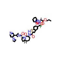 CCCOC(=O)[C@H](C)NP(=O)(Oc1ccccc1)[C@@H](F)c1ccc2sc(C(=O)N[C@H]3CCC[C@H]4CC[C@@H](C(=O)N5CC(c6cnccc6N6CCC6)C5)N4C3=O)cc2c1